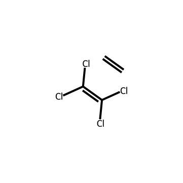 C=C.ClC(Cl)=C(Cl)Cl